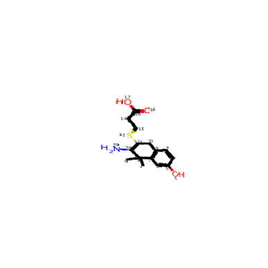 CC1(C)c2cc(O)ccc2C[C@@H](SCCC(=O)O)[C@@H]1N